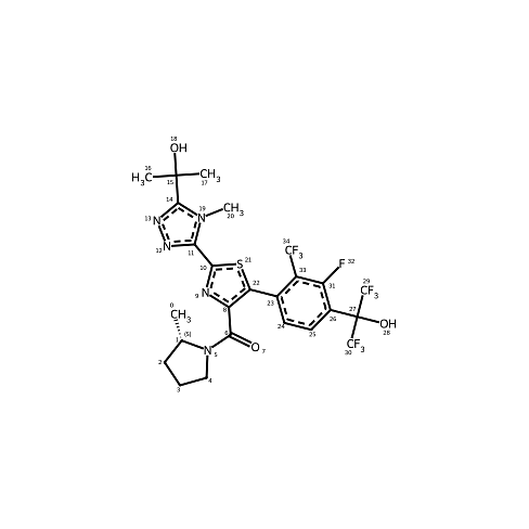 C[C@H]1CCCN1C(=O)c1nc(-c2nnc(C(C)(C)O)n2C)sc1-c1ccc(C(O)(C(F)(F)F)C(F)(F)F)c(F)c1C(F)(F)F